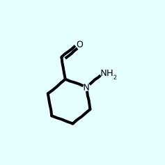 NN1CCCCC1C=O